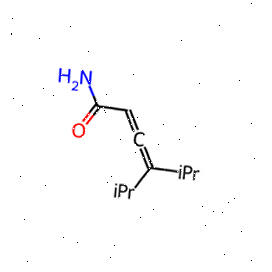 CC(C)C(=C=CC(N)=O)C(C)C